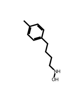 Cc1ccc(CCCCNO)cc1